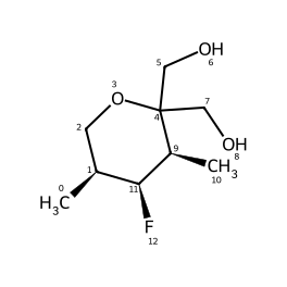 C[C@H]1COC(CO)(CO)[C@@H](C)[C@H]1F